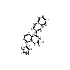 CC1(C)Cc2c(cccc2-c2cnco2)C(c2cnc3ccccc3c2)=N1